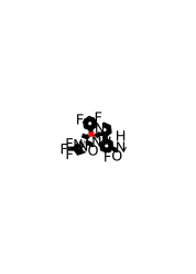 CNC(=O)c1cc(-c2cccnc2[C@H](Cc2cc(F)cc(F)c2)NC(=O)[C@H](C(C)C)n2ccc(C(F)(F)F)n2)ccc1F